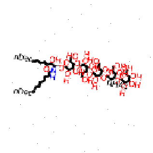 CCCCCCCCCCCCC/C=C/[C@@H](O)[C@H](CO[C@@H]1OC(CO)[C@@H](O[C@@H]2OC(CO)[C@H](O[C@@H]3OC(CO)[C@H](O)[C@H](O[C@@H]4OC(CO)[C@H](O)[C@H](O[C@@H]5OC(CO)[C@H](O)[C@H](O)C5O)C4NC(C)=O)C3O)[C@H](O)C2O)[C@H](O)C1O)NC(=O)CCCCCCCCCCCCCCCCC